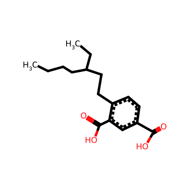 CCCCC(CC)CCc1ccc(C(=O)O)cc1C(=O)O